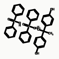 CC(C)(c1ccc(O)cc1)c1ccc(O)cc1.O=P(O)(c1ccccc1)c1ccccc1.O=P(O)(c1ccccc1)c1ccccc1